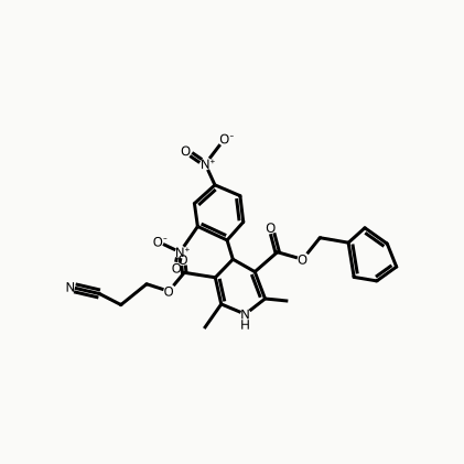 CC1=C(C(=O)OCCC#N)C(c2ccc([N+](=O)[O-])cc2[N+](=O)[O-])C(C(=O)OCc2ccccc2)=C(C)N1